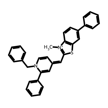 C[n+]1c(C=C2C=CN(Cc3ccccc3)C(c3ccccc3)=C2)sc2cc(-c3ccccc3)ccc21